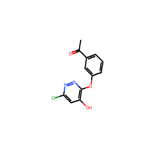 CC(=O)c1cccc(Oc2nnc(Cl)cc2O)c1